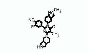 Cc1c(N2CCC3CNCC3C2)nc(-c2ccc(C#N)c(F)c2)n(-c2ccc3nn(C)cc3c2)c1=O